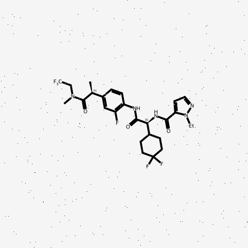 CCn1nccc1C(=O)N[C@H](C(=O)Nc1ccc([C@H](C)C(=O)N(C)CC(F)(F)F)cc1F)C1CCC(F)(F)CC1